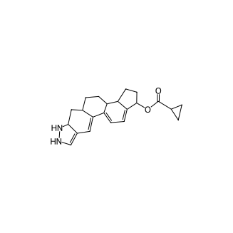 O=C(OC1CCC2C1=CC=C1C3=CC4=CNNC4CC3CCC12)C1CC1